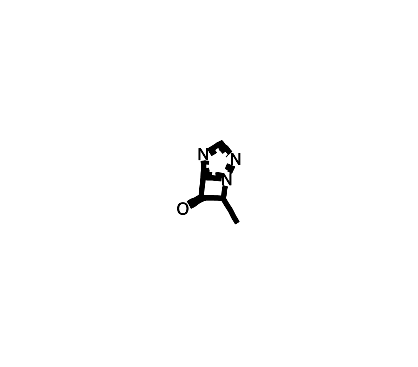 CC1C(=O)c2ncnn21